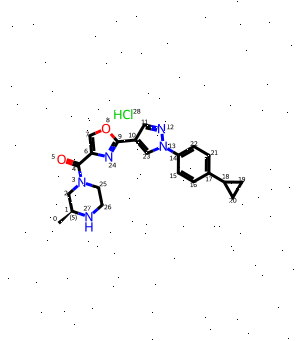 C[C@H]1CN(C(=O)c2coc(-c3cnn(-c4ccc(C5CC5)cc4)c3)n2)CCN1.Cl